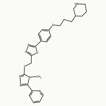 Cn1c(SCc2nnc(-c3ccc(OCCCC4CCCNC4)cc3)o2)nnc1-c1ccccn1